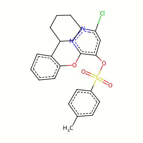 Cc1ccc(S(=O)(=O)Oc2cc(Cl)nnc2Oc2ccccc2C2CCCCC2)cc1